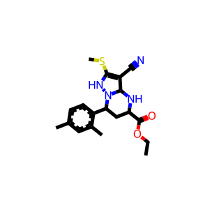 CCOC(=O)C1CC(c2ccc(C)cc2C)N2NC(SC)=C(C#N)C2N1